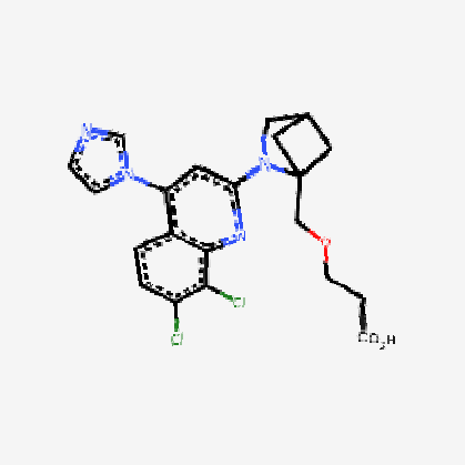 O=C(O)CCOCC12CC(CN1c1cc(-n3ccnc3)c3ccc(Cl)c(Cl)c3n1)C2